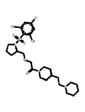 O=C(COCC1CCCN1S(=O)(=O)c1c(Cl)cc(Cl)cc1Cl)N1CCC(CCN2CCCCC2)CC1